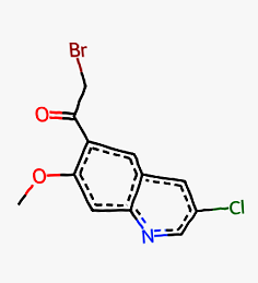 COc1cc2ncc(Cl)cc2cc1C(=O)CBr